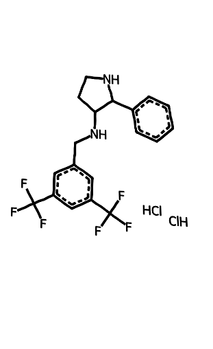 Cl.Cl.FC(F)(F)c1cc(CNC2CCNC2c2ccccc2)cc(C(F)(F)F)c1